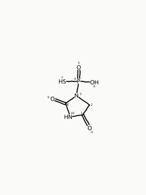 O=C1CN(P(=O)(O)S)C(=O)N1